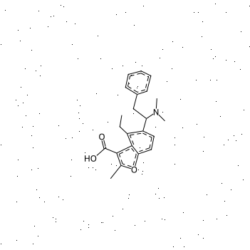 CCc1c(C(Cc2ccccc2)N(C)C)ccc2oc(C)c(C(=O)O)c12